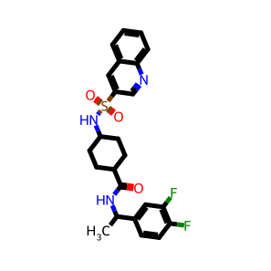 CC(NC(=O)C1CCC(NS(=O)(=O)c2cnc3ccccc3c2)CC1)c1ccc(F)c(F)c1